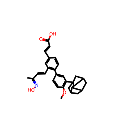 COc1ccc(-c2ccc(C=CC(=O)O)cc2C=CC(C)=NO)cc1C12CC3CC(CC(C3)C1)C2